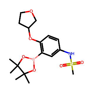 CC1(C)OB(c2cc(NS(C)(=O)=O)ccc2OC2CCOC2)OC1(C)C